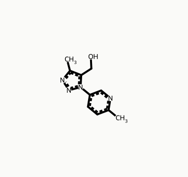 Cc1ccc(-n2nnc(C)c2CO)cn1